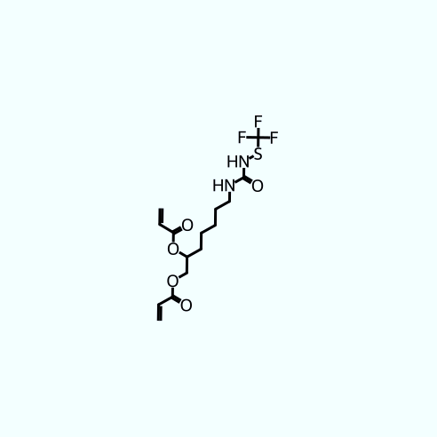 C=CC(=O)OCC(CCCCCNC(=O)NSC(F)(F)F)OC(=O)C=C